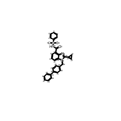 O=C(NS(=O)(=O)c1ccccc1)c1cccc2c1nc(C1CC1)n2Cc1ccc(-c2ccccc2)cc1